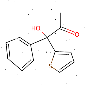 CC(=O)C(O)(c1ccccc1)c1cccs1